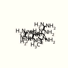 CCC1CNCCN1N.NC(N)=C(N)N.NC(N)=C(N)N.NC(N)=C(N)N